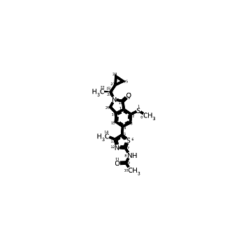 CSc1cc(-c2sc(NC(C)=O)nc2C)cc2c1C(=O)N([C@@H](C)C1CC1)C2